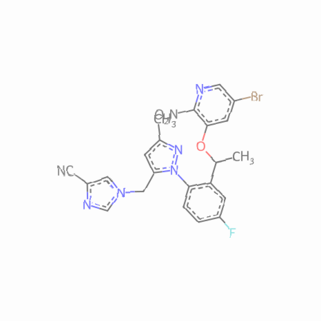 Cc1cc(Cn2cnc(C#N)c2)n(-c2ccc(F)cc2C(C)Oc2cc(Br)cnc2[N+](=O)[O-])n1